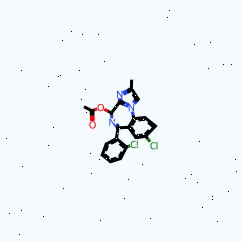 CC(=O)OC1N=C(c2ccccc2Cl)c2cc(Cl)ccc2-n2cc(C)nc21